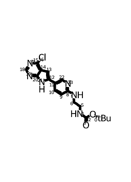 CC(C)(C)OC(=O)NCCNc1ccc(-c2cc3c(Cl)ncnc3[nH]2)cn1